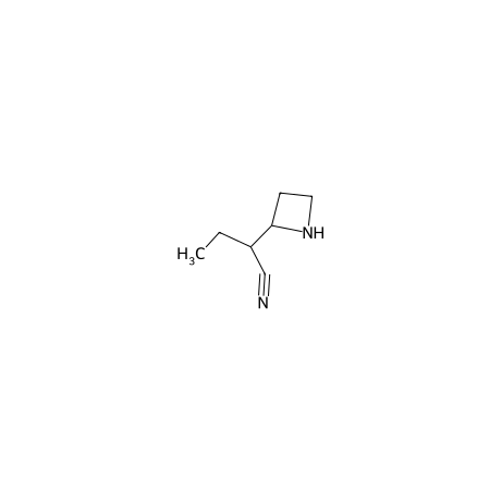 CCC(C#N)C1CCN1